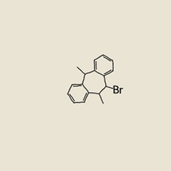 CC1c2ccccc2C(C)C(Br)c2ccccc21